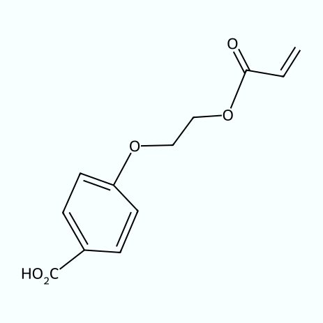 C=CC(=O)OCCOc1ccc(C(=O)O)cc1